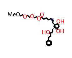 COCCOCCOCCOC(=O)CCC/C=C\C[C@@H]1[C@@H](CC[C@@H](O)CCc2ccccc2)[C@H](O)C[C@@H]1O